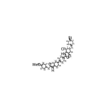 CCN1CCN(Cc2cc(Cl)c(NC(=O)N3CCN(c4ccc(NC(=O)Cc5ccc(OC)cc5)cc4)CC3)c(Cl)c2)CC1